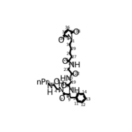 CCCNC(=O)CNC(=O)[C@H](Cc1ccccc1)NC(=O)CNC(=O)CNC(=O)CCCCCN1C(=O)C=CC1=O